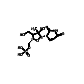 CC1(O)C(CO)[C@@H](COP(=O)(O)O)O[C@H]1n1ccc(=O)[nH]c1=O